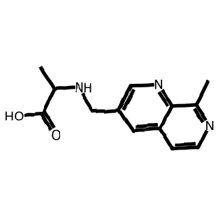 Cc1nccc2cc(CNC(C)C(=O)O)cnc12